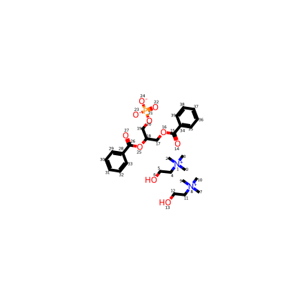 C[N+](C)(C)CCO.C[N+](C)(C)CCO.O=C(OCC(COP(=O)([O-])[O-])OC(=O)c1ccccc1)c1ccccc1